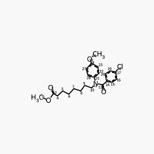 COC(=O)CCCCCCCN(C(=O)c1ccc(Cl)cc1)c1ccc(OC)cc1